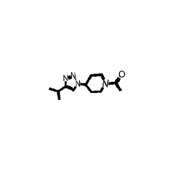 CC(=O)N1CCC(n2cc(C(C)C)nn2)CC1